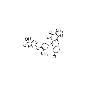 CC1=C(OC2NC(C(=O)O)=CS2)C=CC(/N=c2\[nH]c(=O)n(C)c(=O)n2CC2C=CC(Cl)=CC2)C1